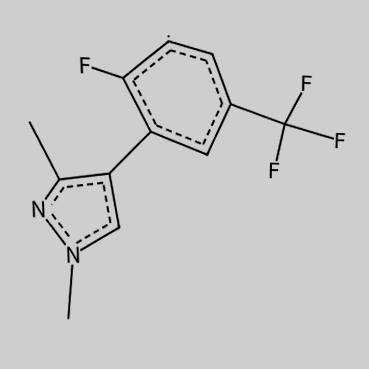 Cc1nn(C)cc1-c1cc(C(F)(F)F)c[c]c1F